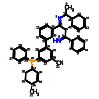 CC(/N=C(\CC(=N)c1ccccc1)c1cccc(-c2cc(C#N)cc(P(c3ccccc3)C3C=C[C@H](C)CC3)c2)c1)C1C=CC=CC1